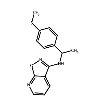 CC(Nc1noc2ncccc12)c1ccc(SC(F)(F)F)cc1